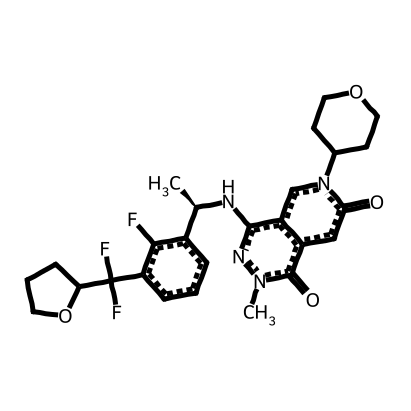 C[C@@H](Nc1nn(C)c(=O)c2cc(=O)n(C3CCOCC3)cc12)c1cccc(C(F)(F)C2CCCO2)c1F